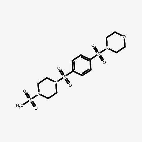 CS(=O)(=O)N1CCN(S(=O)(=O)c2ccc(S(=O)(=O)N3CCOCC3)cc2)CC1